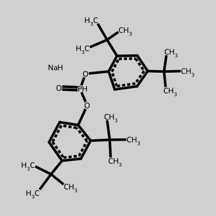 CC(C)(C)c1ccc(O[PH](=O)Oc2ccc(C(C)(C)C)cc2C(C)(C)C)c(C(C)(C)C)c1.[NaH]